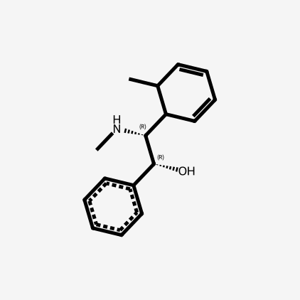 CN[C@H](C1C=CC=CC1C)[C@H](O)c1ccccc1